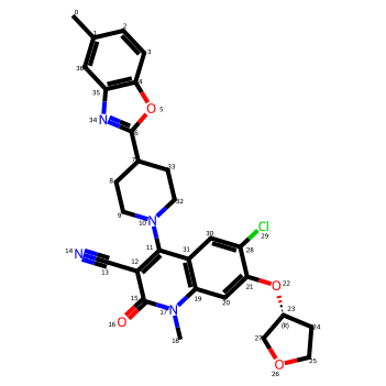 Cc1ccc2oc(C3CCN(c4c(C#N)c(=O)n(C)c5cc(O[C@@H]6CCOC6)c(Cl)cc45)CC3)nc2c1